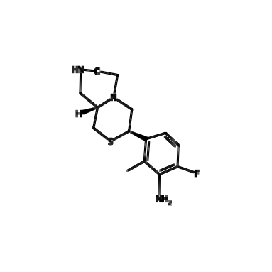 Cc1c([C@@H]2CN3CCNC[C@H]3CS2)ccc(F)c1N